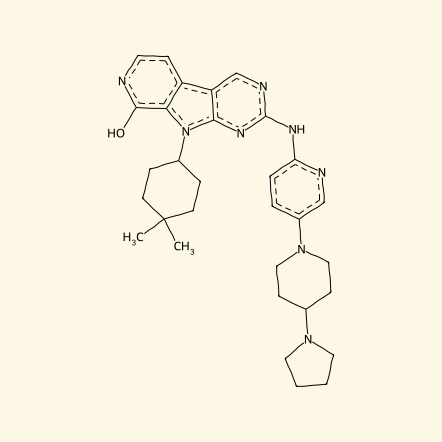 CC1(C)CCC(n2c3nc(Nc4ccc(N5CCC(N6CCCC6)CC5)cn4)ncc3c3ccnc(O)c32)CC1